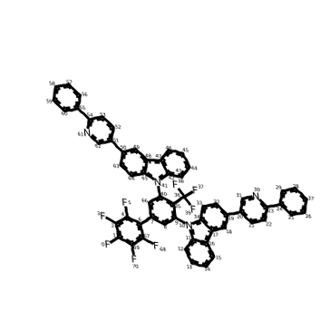 Fc1c(F)c(F)c(-c2cc(-n3c4ccccc4c4cc(-c5ccc(-c6ccccc6)nc5)ccc43)c(C(F)(F)F)c(-n3c4ccccc4c4cc(-c5ccc(-c6ccccc6)nc5)ccc43)c2)c(F)c1F